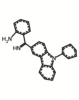 N=C(c1ccc2c(c1)c1ccccc1n2-c1ccccc1)c1ccccc1N